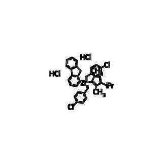 CC1=[C]([Zr](=[CH]c2ccc(Cl)cc2)(=[CH]c2ccc(Cl)cc2)[c]2cccc3c2Cc2ccccc2-3)C(C)C=C1C(C)C.Cl.Cl